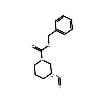 O=C[C@@H]1CCCN(C(=O)OCc2ccccc2)C1